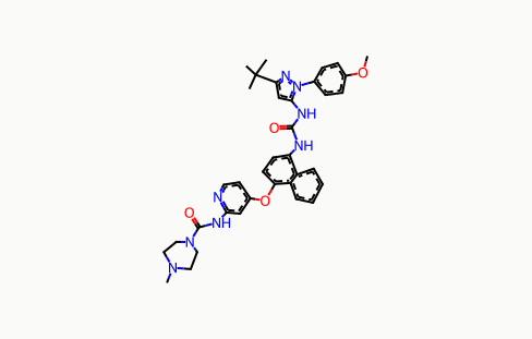 COc1ccc(-n2nc(C(C)(C)C)cc2NC(=O)Nc2ccc(Oc3ccnc(NC(=O)N4CCN(C)CC4)c3)c3ccccc23)cc1